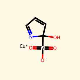 [Cu+].[O]=[V](=[O])([O-])[C]1(O)C=CC=N1